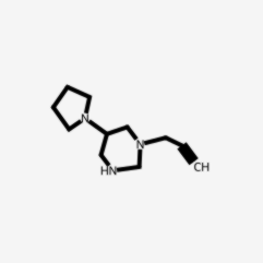 C#CCN1CNCC(N2CCCC2)C1